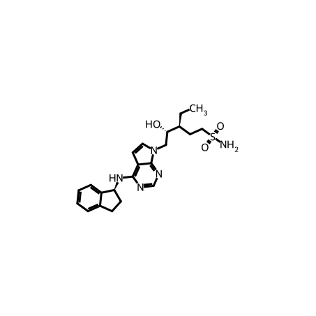 CC[C@@H](CCS(N)(=O)=O)[C@@H](O)Cn1ccc2c(N[C@H]3CCc4ccccc43)ncnc21